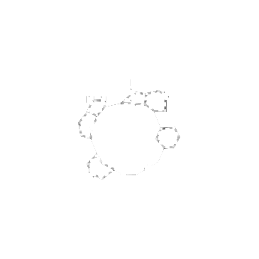 c1cc2cc(c1)-c1cncc3[nH]c(nc13)-c1n[nH]c3ccc(cc13)-c1cncc(c1)OCCC2